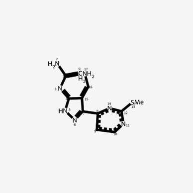 C=C(N)/N=C1/NN=C(c2ccnc(SC)n2)/C1=C/N